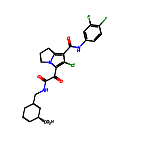 O=C(NCC1CCC[C@H](C(=O)O)C1)C(=O)c1c(Cl)c(C(=O)Nc2ccc(F)c(F)c2)c2n1CCC2